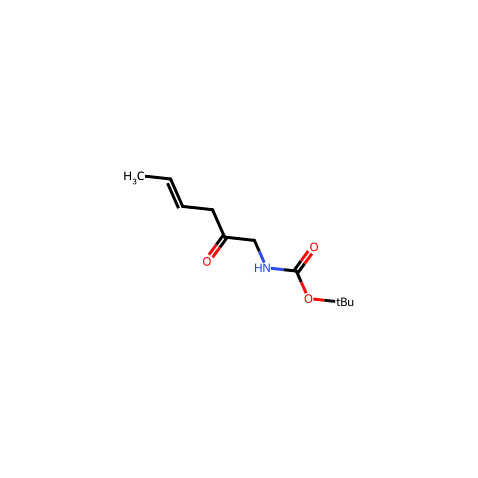 CC=CCC(=O)CNC(=O)OC(C)(C)C